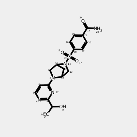 CC(O)c1nccc(N2CC3CC2CN3S(=O)(=O)c2ccc(C(N)=O)cc2)n1